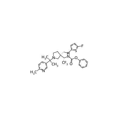 Cc1ccc(C(C)(C)N2CC[C@@](CCc3ccc(F)s3)([C@H](NC(=O)Oc3ccccc3)C(F)(F)F)C2)cn1